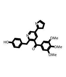 COc1cc(C(=O)c2cc(C3=NC=CC3)cnc2Cc2ccc(O)cc2)cc(OC)c1OC